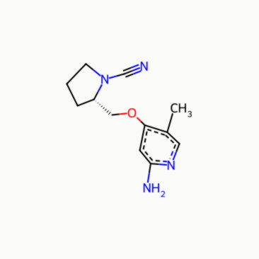 Cc1cnc(N)cc1OC[C@@H]1CCCN1C#N